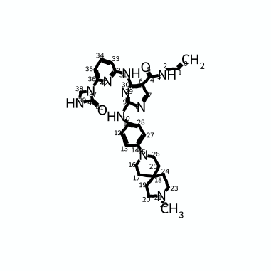 C=CCNC(=O)c1cnc(Nc2ccc(N3CCC4(CCN(C)CC4)CC3)cc2)nc1Nc1cccc(N2CNC2=O)n1